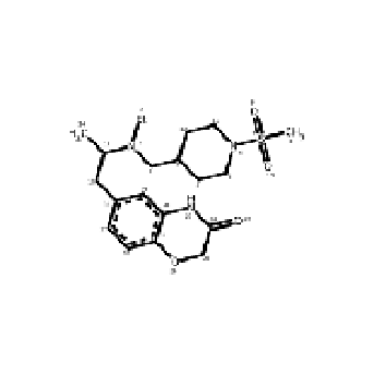 CCN(CC1CCN(S(C)(=O)=O)CC1)C(C)Cc1ccc2c(c1)NC(=O)CO2